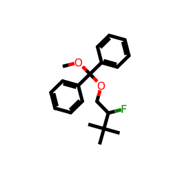 COC(OCC(F)C(C)(C)C)(c1ccccc1)c1ccccc1